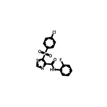 O=C(Nc1ccccc1F)c1ncsc1S(=O)(=O)c1ccc(Cl)cc1